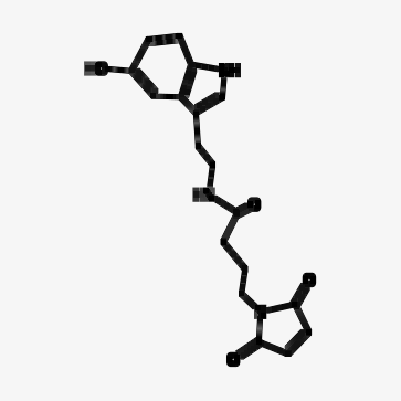 O=C(CCCN1C(=O)C=CC1=O)NCCc1c[nH]c2ccc(O)cc12